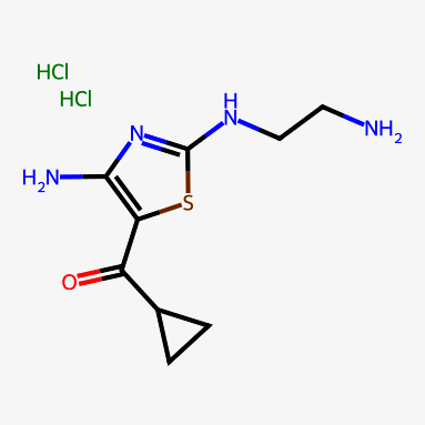 Cl.Cl.NCCNc1nc(N)c(C(=O)C2CC2)s1